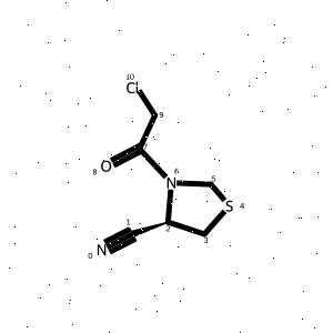 N#C[C@@H]1CSCN1C(=O)CCl